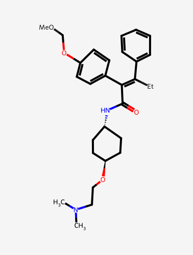 CC/C(=C(\C(=O)N[C@H]1CC[C@H](OCCN(C)C)CC1)c1ccc(OCOC)cc1)c1ccccc1